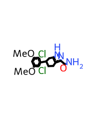 COc1cc(OC)c(Cl)c(C2CCc3c(C(N)=O)n[nH]c3C2)c1Cl